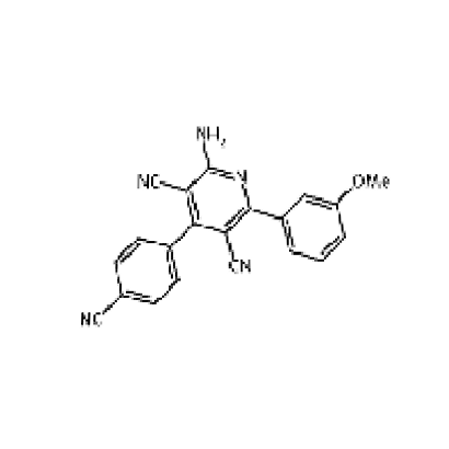 COc1cccc(-c2nc(N)c(C#N)c(-c3ccc(C#N)cc3)c2C#N)c1